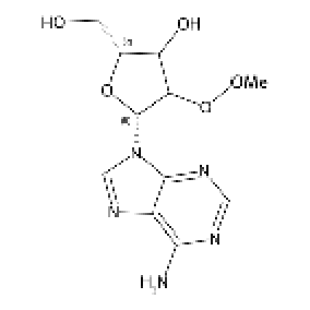 COOC1C(O)[C@@H](CO)O[C@H]1n1cnc2c(N)ncnc21